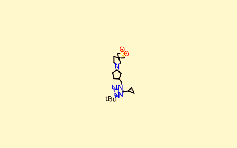 CC(C)(C)N/N=C(\NCC1CC[C@@H](N2CCC3(C2)CS(=O)(=O)C3)C1)C1CC1